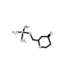 CC(C)(C)[Si](C)(C)OCC1CC(=O)CCO1